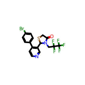 O=C1CSC(c2cnccc2-c2ccc(Br)cc2)N1CC(F)(F)C(F)(F)F